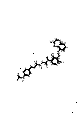 CC(=O)Nc1ccc(C=CC(=O)NCC(=O)N(C)c2ccc(Cl)c(COc3cccc4ncc(C)nc34)c2Cl)cc1